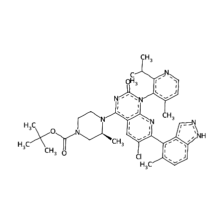 Cc1ccnc(C(C)C)c1-n1c(=O)nc(N2CCN(C(=O)OC(C)(C)C)C[C@@H]2C)c2cc(Cl)c(-c3c(C)ccc4[nH]ncc34)nc21